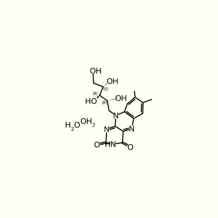 Cc1cc2nc3c(=O)[nH]c(=O)nc-3n(C[C@@H](O)[C@@H](O)[C@@H](O)CO)c2cc1C.O.O